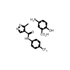 Cc1oncc1C(=O)Nc1ccc(C(F)(F)F)cc1.Nc1ccc(O)c(C(=O)O)c1